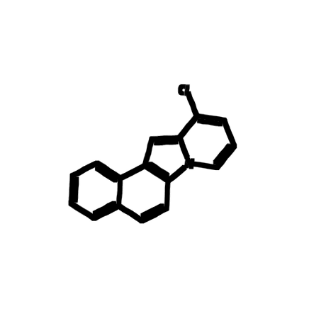 Clc1cccn2c1cc1c3ccccc3ccc12